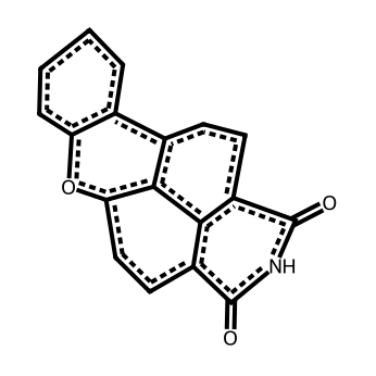 O=c1[nH]c(=O)c2ccc3c4ccccc4oc4ccc1c2c43